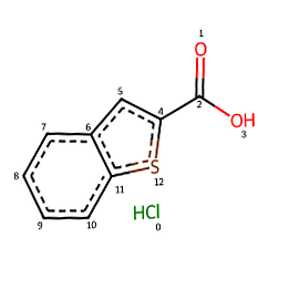 Cl.O=C(O)c1cc2ccccc2s1